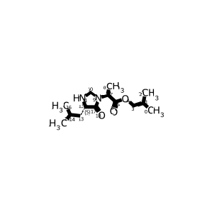 CC(C)COC(=O)C(C)N1CN[C@@H](CC(C)C)C1=O